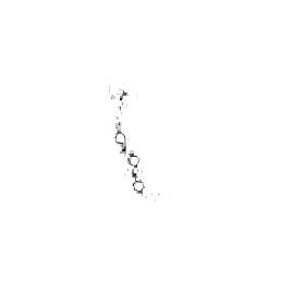 C=C(C)C(=O)OCCCCOc1ccc(C(=O)Oc2ccc(OC(=O)c3ccc(OC)cc3)cc2)cc1